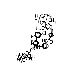 CC1CN(CC23CC(C(=O)Nc4cc(Nc5cc(-c6cc(Cl)ccc6F)nnc5SCCO[Si](C)(C)C(C)(C)C)ccn4)(C2)C3)CC(C)N1C(=O)OC(C)(C)C